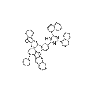 c1ccc(-c2cccc3c2c2cc4ccccc4cc2n3-c2ccc(C3N=C(c4cccc5ccccc45)N=C(c4cccc5ccccc45)N3)cc2-c2ccc3oc4ccccc4c3c2)cc1